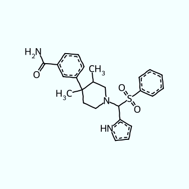 CC1CN(C(c2ccc[nH]2)S(=O)(=O)c2ccccc2)CCC1(C)c1cccc(C(N)=O)c1